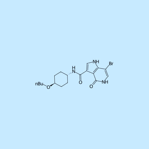 CCCCO[C@H]1CC[C@H](NC(=O)c2c[nH]c3c(Br)c[nH]c(=O)c23)CC1